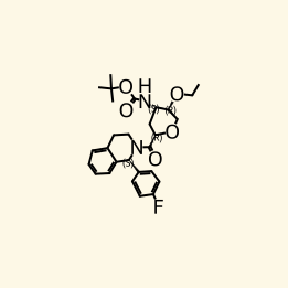 CCO[C@H]1CO[C@@H](C(=O)N2CCc3ccccc3[C@@H]2c2ccc(F)cc2)C[C@@H]1NC(=O)OC(C)(C)C